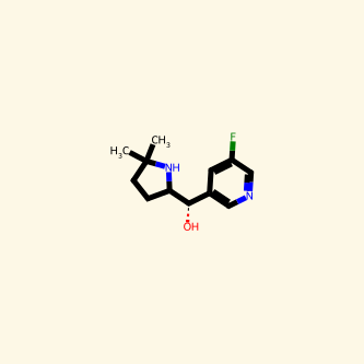 CC1(C)CCC([C@@H](O)c2cncc(F)c2)N1